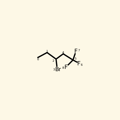 CCC(Br)CC(F)(F)F